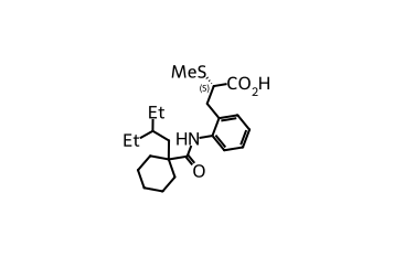 CCC(CC)CC1(C(=O)Nc2ccccc2C[C@H](SC)C(=O)O)CCCCC1